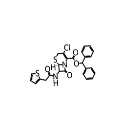 O=C(Cc1cccs1)NC1C(=O)N2C(C(=O)OC(c3ccccc3)c3ccccc3)=C(Cl)CS[C@H]12